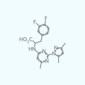 Cc1cc(NC(Cc2ccc(F)c(F)c2)C(=O)O)nc(-n2nc(C)cc2C)n1